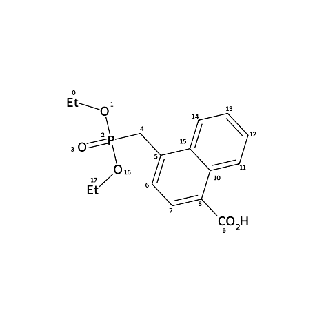 CCOP(=O)(Cc1ccc(C(=O)O)c2ccccc12)OCC